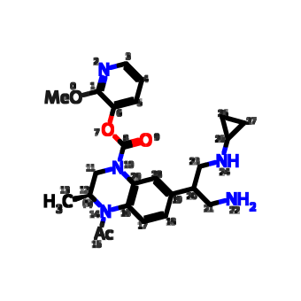 COc1ncccc1OC(=O)N1C[C@H](C)N(C(C)=O)c2ccc(C(CN)CNC3CC3)cc21